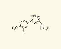 O=C(O)Oc1cc(-c2ccc(C(F)(F)F)c(Cl)c2)ncn1